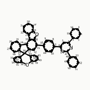 c1ccc(-c2cc(-c3ccc(-c4cc5c(c6c4oc4ccccc46)-c4ccccc4C54c5ccccc5Oc5ccccc54)cc3)nc(-c3ccccc3)n2)cc1